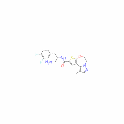 Cc1cnn2c1-c1cc(C(=O)NC(CN)Cc3ccc(F)c(F)c3)sc1OCC2